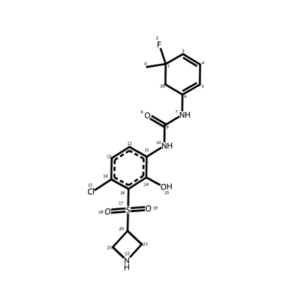 CC1(F)C=CC=C(NC(=O)Nc2ccc(Cl)c(S(=O)(=O)C3CNC3)c2O)C1